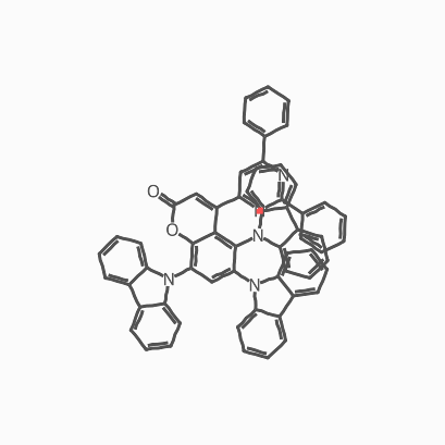 O=c1cc(-c2cc(-c3ccccc3)nc(-c3ccccc3)n2)c2c(-n3c4ccccc4c4ccccc43)c(-n3c4ccccc4c4ccccc43)cc(-n3c4ccccc4c4ccccc43)c2o1